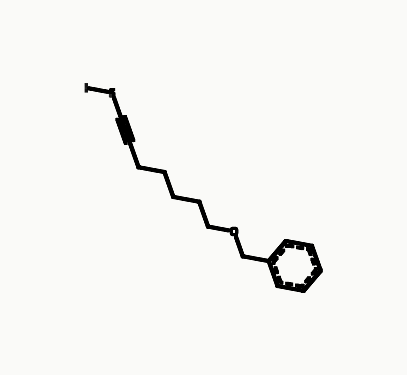 ISC#CCCCCCOCc1ccccc1